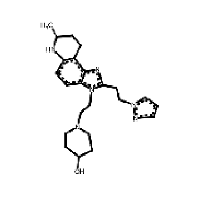 C[C@H]1CCc2c(ccc3c2nc(CCn2cccn2)n3CCN2CCC(O)CC2)N1